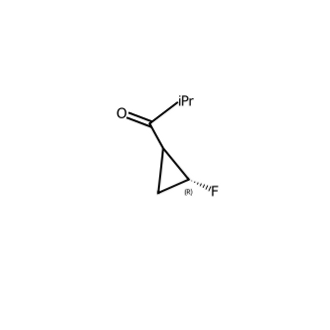 CC(C)C(=O)C1C[C@H]1F